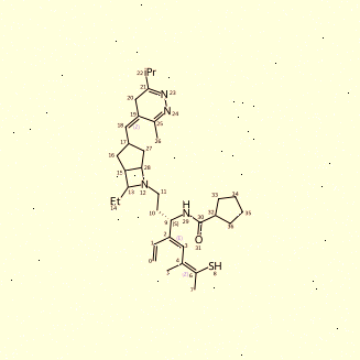 C=C/C(=C\C(C)=C(\C)S)[C@H](CCN1C(CC)C2CC(/C=C3/CC(C(C)C)=NN=C3C)CC21)NC(=O)C1CCCC1